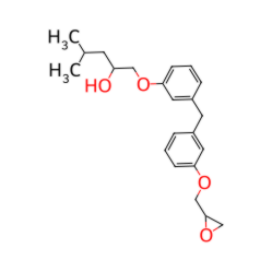 CC(C)CC(O)COc1cccc(Cc2cccc(OCC3CO3)c2)c1